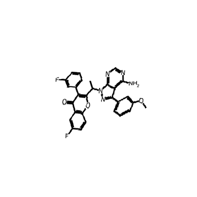 COc1cccc(-c2nn(C(C)c3oc4ccc(F)cc4c(=O)c3-c3cccc(F)c3)c3ncnc(N)c23)c1